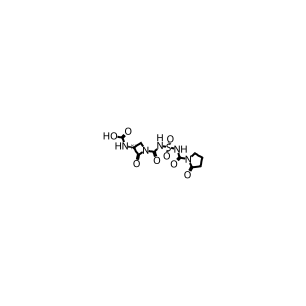 O=C(O)N[C@H]1CN(C(=O)NS(=O)(=O)NC(=O)N2CCCC2=O)C1=O